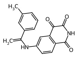 C=C(Nc1ccc2c(c1)C(=O)C(=O)NC2=O)c1cccc(C)c1